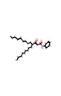 CCCCCCCCCC(CCCCCCCCC)C(=O)CC(=O)Nc1ccccc1